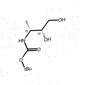 C[C@@H](NC(=O)OC(C)(C)C)[C@@H](O)CO